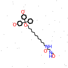 COc1ccc(C(OCCCCCCCCCCCCNC(=O)CNC=O)(c2ccccc2)c2ccc(OC)cc2)cc1